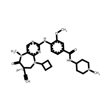 C#C[C@]1(F)CN(C2CCC2)c2nc(Nc3ccc(C(=O)NC4CCN(C)CC4)cc3OC)ncc2N(C)C1=O